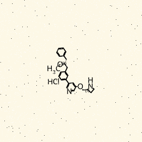 CO[C@H](Cc1ccccc1)Cc1cccc(-c2cncc(OC[C@@H]3CCN3)c2)c1.Cl